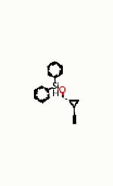 C#C[C@@H]1C[C@H]1CO[SiH](c1ccccc1)c1ccccc1